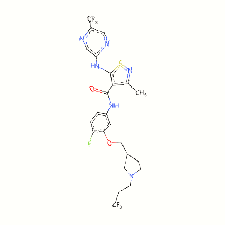 Cc1nsc(Nc2cnc(C(F)(F)F)cn2)c1C(=O)Nc1ccc(F)c(OCC2CCN(CCC(F)(F)F)C2)c1